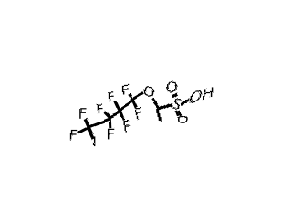 CC(OC(F)(F)C(F)(F)C(F)(F)C(F)(F)I)S(=O)(=O)O